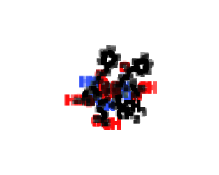 CC(C)[C@H](NC(=O)[C@H](CCC(=O)O)NC(=O)[C@H](CC(=O)O)NC(=O)OCc1ccccc1)C(=O)NN(CC(=O)O)C(=O)/C=C/C(=O)c1ccccc1